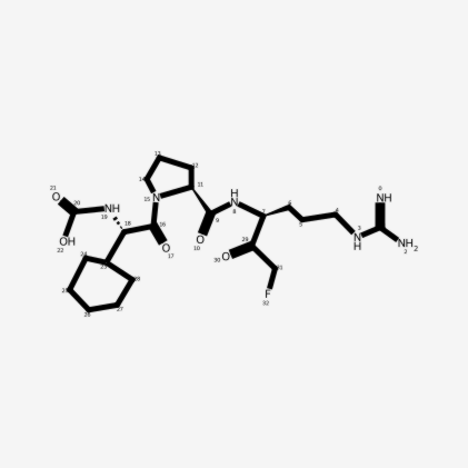 N=C(N)NCCC[C@H](NC(=O)[C@@H]1CCCN1C(=O)[C@@H](NC(=O)O)C1CCCCC1)C(=O)CF